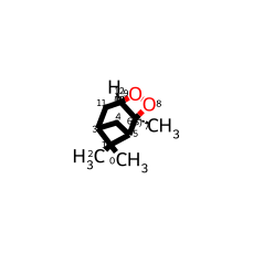 CC1(C)C2CC1[C@]1(C)OO[C@@H]1C2